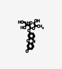 CC(CO)O[C@@H](Oc1ccc2nc3ccc(=O)cc-3oc2c1)C(O)C(O)CO